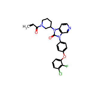 C=CC(=O)N1CCCC(n2c(=O)n(-c3ccc(Oc4cccc(Cl)c4F)cc3)c3cnccc32)C1